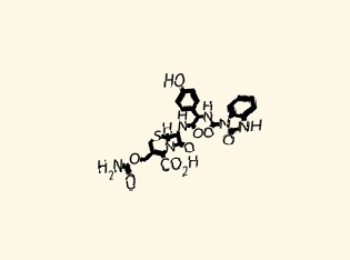 NC(=O)OCC1=C(C(=O)O)N2C(=O)C(NC(=O)C(NC(=O)n3c(=O)[nH]c4ccccc43)c3ccc(O)cc3)[C@H]2SC1